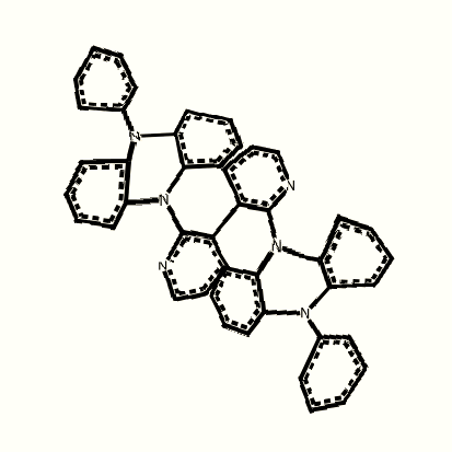 c1ccc(N2c3ccccc3N(c3ncccc3-c3cccnc3N3c4ccccc4N(c4ccccc4)c4ccccc43)c3ccccc32)cc1